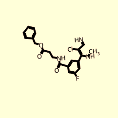 CN/C(=C(/Cl)C=N)c1cc(F)cc(C(=O)NCCC(=O)OCc2ccccc2)c1